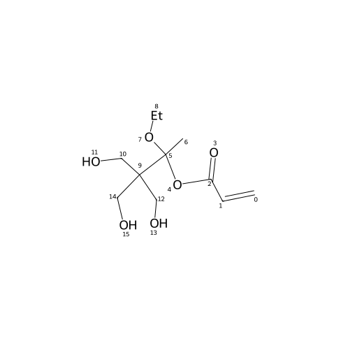 C=CC(=O)OC(C)(OCC)C(CO)(CO)CO